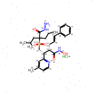 CCCC(CC(C)C)(C(=O)NN)S(=O)(=O)C[C@@H](c1cc(C)ccn1)[C@H](C/C=C/c1ccccc1)C(=O)NO.Cl